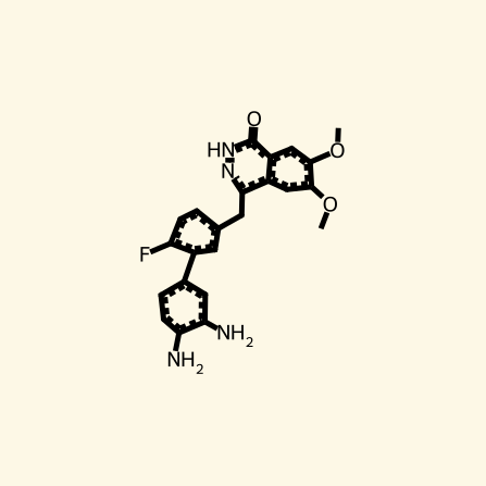 COc1cc2c(Cc3ccc(F)c(-c4ccc(N)c(N)c4)c3)n[nH]c(=O)c2cc1OC